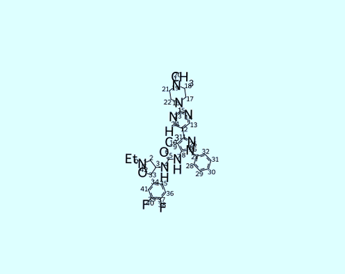 CCN1C[C@@H](NC(=O)Nc2c(C)c(-c3cnc(N4CCN(C)CC4)nc3)nn2-c2ccccc2)[C@H](c2ccc(F)c(F)c2)O1